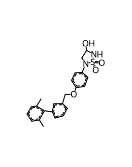 Cc1cccc(C)c1-c1cccc(COc2ccc(N3CC(O)NS3(=O)=O)cc2)c1